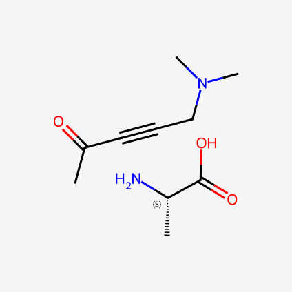 CC(=O)C#CCN(C)C.C[C@H](N)C(=O)O